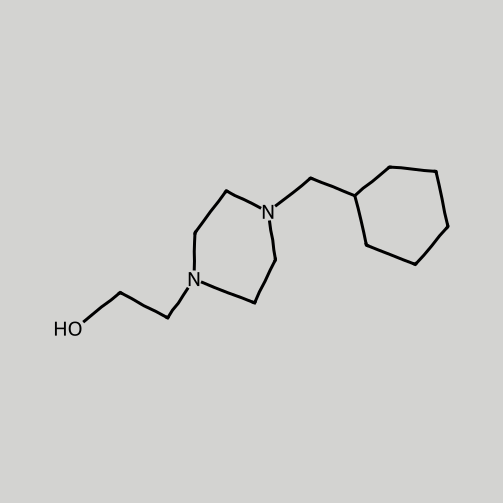 OCCN1CCN(CC2CCCCC2)CC1